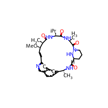 CO[C@@H]1/C=C/c2cc3cc(ccc3cn2)[C@@H](C)NC(=O)[C@@H]2CCCN(N2)C(=O)[C@H](C)NC(=O)[C@H](C(C)C)NC(=O)[C@@H]1C